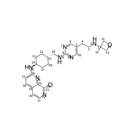 CC1(NCCc2cnc(NC[C@H]3CC[C@H](Nc4ccc5ccnc(Cl)c5n4)CC3)nc2)COC1